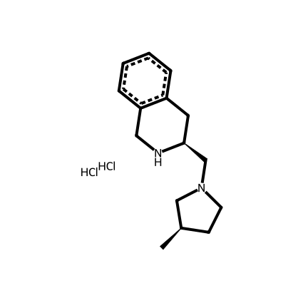 C[C@@H]1CCN(C[C@@H]2Cc3ccccc3CN2)C1.Cl.Cl